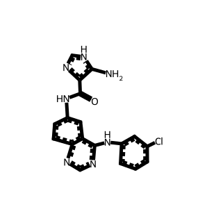 Nc1[nH]cnc1C(=O)Nc1ccc2ncnc(Nc3cccc(Cl)c3)c2c1